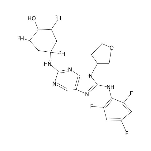 [2H]C1CC([2H])(Nc2ncc3nc(Nc4c(F)cc(F)cc4F)n(C4CCOC4)c3n2)CC([2H])C1O